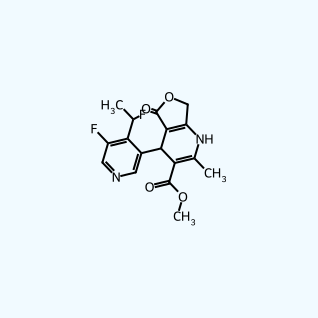 COC(=O)C1=C(C)NC2=C(C(=O)OC2)C1c1cncc(F)c1C(C)F